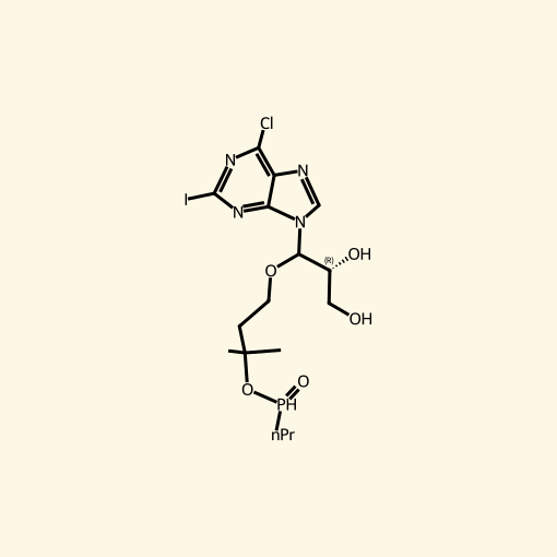 CCC[PH](=O)OC(C)(C)CCOC([C@H](O)CO)n1cnc2c(Cl)nc(I)nc21